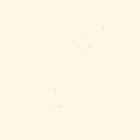 O=C(CCOCCn1nc(C(F)F)c2c(=O)[nH]ncc21)N1CCN(c2ncc(C(F)(F)F)cn2)CC1